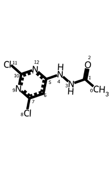 CC(=O)NNc1cc(Cl)nc(Cl)n1